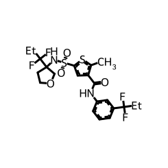 CCC(F)(F)c1cccc(NC(=O)c2cc(S(=O)(=O)NC3(C(F)(F)CC)CCOC3)sc2C)c1